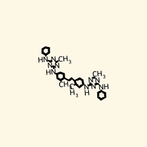 Cc1nc(Nc2ccccc2)nc(Nc2ccc(/C=C/c3ccc(Nc4nc(C)nc(Nc5ccccc5)n4)cc3C)c(C)c2)n1